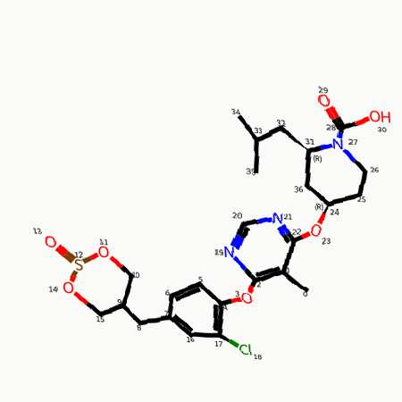 Cc1c(Oc2ccc(CC3COS(=O)OC3)cc2Cl)ncnc1O[C@@H]1CCN(C(=O)O)[C@H](CC(C)C)C1